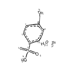 O.O=S(=O)(O)c1ccc(O)cc1.[Zn]